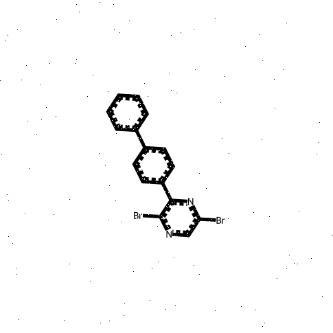 Brc1cnc(Br)c(-c2ccc(-c3ccccc3)cc2)n1